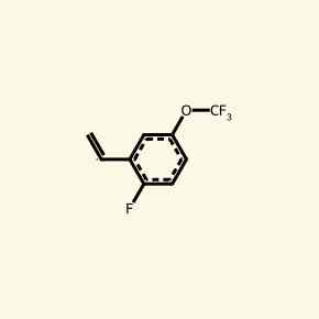 C=[C]c1cc(OC(F)(F)F)ccc1F